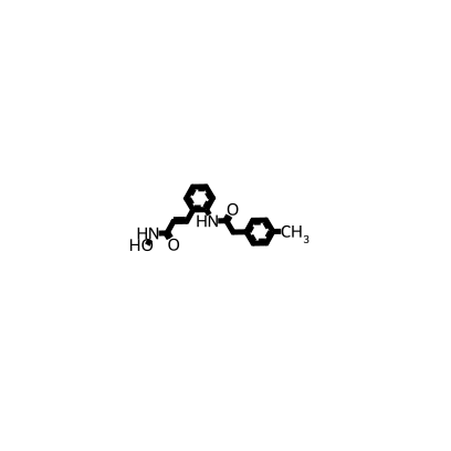 Cc1ccc(CC(=O)Nc2ccccc2/C=C/C(=O)NO)cc1